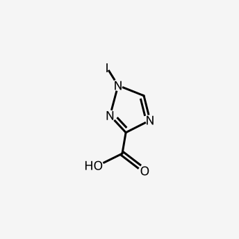 O=C(O)c1ncn(I)n1